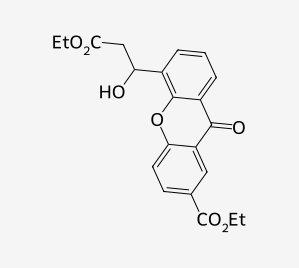 CCOC(=O)CC(O)c1cccc2c(=O)c3cc(C(=O)OCC)ccc3oc12